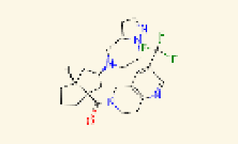 O=C(N1CCc2ncc(C(F)(F)F)cc2C1)[C@@]12CCC[C@@H]1C[C@@H](N1CCn3nccc3C1)C2